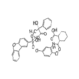 CC(O)(C(=O)O)c1ccccc1.O=C(O)C1CCCCC1C(=O)Nc1cc(Cl)ccc1Cl.O=S(=O)(O)c1ccc2oc3ccccc3c2c1